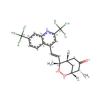 C[C@H]1C(=O)C[C@@H]2C[C@H]1OO[C@]2(C)/C=C/c1cc(C(F)(F)F)nc2cc(C(F)(F)F)ccc12